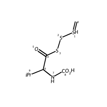 C=[SH]SSC(=O)C(NC(=O)O)C(C)C